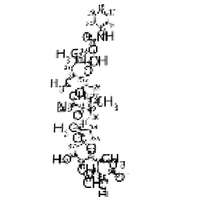 CC[C@@]1([C@@H]2O[C@@H]([C@H]3O[C@@](O)(COC(=O)Nc4ccccc4)[C@H](C)C[C@@H]3C)C[C@@H]2C)CC[C@H]([C@]2(C)CC[C@]3(C[C@H](O)[C@@H](C)[C@@H]([C@@H](C)[C@@H](OC)[C@H](C)C(=O)[O-])O3)O2)O1.[Na+]